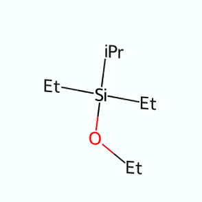 CCO[Si](CC)(CC)C(C)C